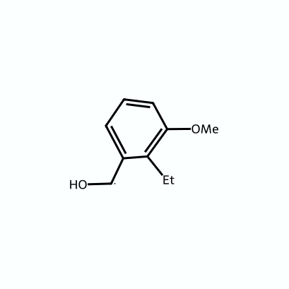 CCc1c([CH]O)cccc1OC